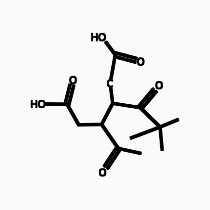 CC(=O)C(CC(=O)O)C(CC(=O)O)C(=O)C(C)(C)C